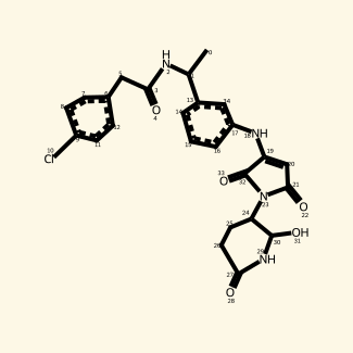 CC(NC(=O)Cc1ccc(Cl)cc1)c1cccc(NC2=CC(=O)N(C3CCC(=O)NC3O)C2=O)c1